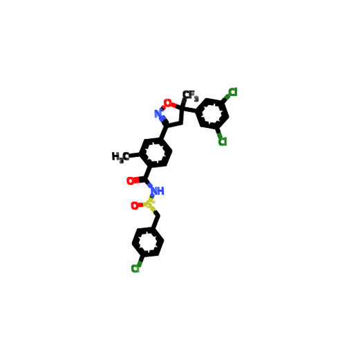 Cc1cc(C2=NOC(c3cc(Cl)cc(Cl)c3)(C(F)(F)F)C2)ccc1C(=O)N[S+]([O-])Cc1ccc(Cl)cc1